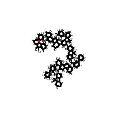 CC1(C)c2ccccc2-c2ccc(N(c3cc4c5ccccc5c(N(c5ccc6c(c5)C(C)(C)c5ccc(-c7ccc(N(c8ccccc8F)c8cc9c%10ccccc%10c(N(c%10ccccc%10F)c%10cccc%11c%10-c%10ccccc%10C%11(C)C)cc9c9ccccc89)c8c7C(C)(C)c7ccccc7-8)cc5-6)c5cccc6c5oc5ccccc56)cc4c4ccccc34)c3cccc4c3oc3ccccc34)cc21